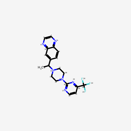 CC(c1ccc2nccnc2c1)N1CCN(c2nccc(C(F)(F)F)n2)CC1